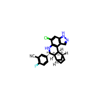 N#Cc1cc([C@@H]2Nc3c(Cl)cc4[nH]ncc4c3[C@H]3[C@@H]4CC[C@H](C4)[C@H]32)ccc1F